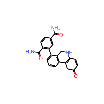 NC(=O)c1ccc(C(N)=O)c(-c2cccc3c2CNC2=C3CC(=O)C=C2)c1